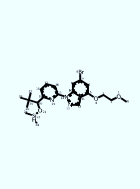 COCCOc1cc(Br)cc2c1cnn2-c1cccc(C(O[SiH](C)C)C(C)(C)C)n1